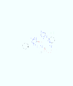 O=C(CN1CCOC1=O)NC(Cn1c(-c2ccc(Cl)cc2)nn(Cc2ncn(-c3ncccc3Cl)n2)c1=O)C(F)(F)F